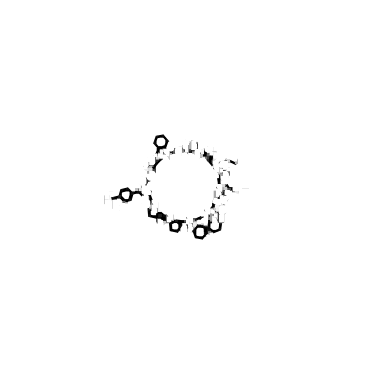 CCCOC[C@@H]1NC(=O)[C@H](CC(C)C)N(C)C(=O)C[C@@H](C(=O)N2CCCCC2)N(C)C(=O)[C@H](C2CCCCC2)N(C)C(=O)C2(CCCC2)NC(=O)[C@@H]2CCCN2C(=O)[C@H](CCc2ccc(C(F)(F)F)c(Cl)c2)NC(=O)CN(C)C(=O)[C@H](CC2CCCCC2)N(C)C(=O)CN(C)C(=O)CN(C)C1=O